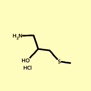 CSCC(O)CN.Cl